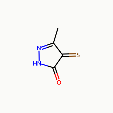 CC1=NNC(=O)C1=S